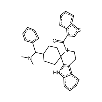 CN(C)C(c1ccccc1)C1CCC2(CC1)c1[nH]c3ccccc3c1CCN2C(=O)c1csc2ccccc12